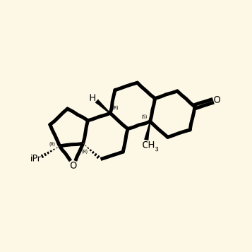 CC(C)[C@]12CCC3[C@@H]4CCC5CC(=O)CC[C@]5(C)C4CC[C@@]31O2